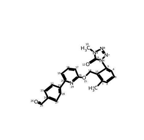 Cc1cccc(-n2nnn(C)c2=O)c1COc1cccc(-c2ccc(C=O)cc2)n1